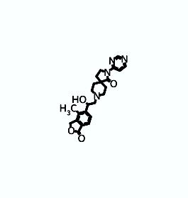 Cc1c(C(O)CN2CCC3(CC2)CCN(c2ccncn2)C3=O)ccc2c1COC2=O